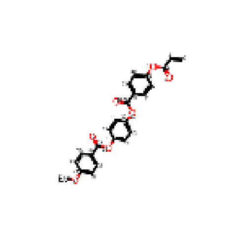 C=CC(=O)Oc1ccc(C(=O)Oc2ccc(OC(=O)c3ccc(OCC)cc3)cc2)cc1